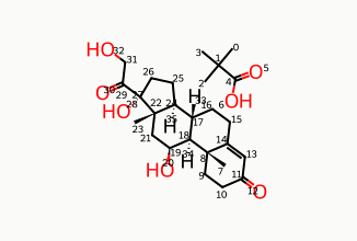 CC(C)(C)C(=O)O.C[C@]12CCC(=O)C=C1CC[C@@H]1[C@@H]2[C@@H](O)C[C@@]2(C)[C@H]1CC[C@]2(O)C(=O)CO